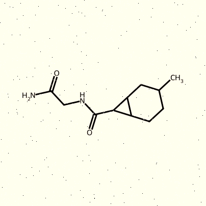 CC1CCC2C(C1)C2C(=O)NCC(N)=O